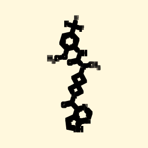 COc1ccc(C(F)(F)F)cc1NC(=O)N(C)C1CC2(C1)CN(C(=O)c1ncnc3[nH]ccc13)C2